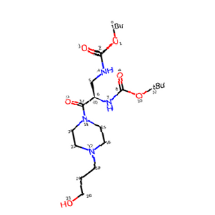 CC(C)(C)OC(=O)NC[C@@H](NC(=O)OC(C)(C)C)C(=O)N1CCN(CCCO)CC1